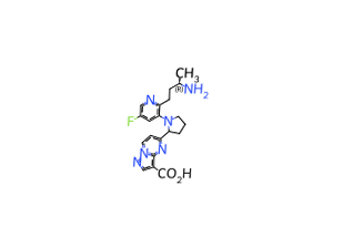 C[C@@H](N)CCc1ncc(F)cc1N1CCCC1c1ccn2ncc(C(=O)O)c2n1